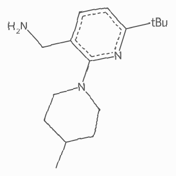 CC1CCN(c2nc(C(C)(C)C)ccc2CN)CC1